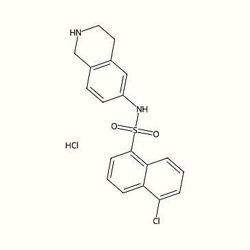 Cl.O=S(=O)(Nc1ccc2c(c1)CCNC2)c1cccc2c(Cl)cccc12